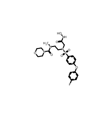 CN(CCN(CC(=O)NO)S(=O)(=O)c1ccc(Oc2ccc(F)cc2)cc1)C(=O)N1CCOCC1